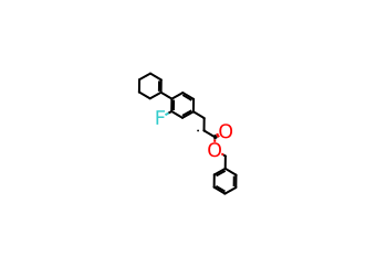 O=C([CH]Cc1ccc(C2=CCCCC2)c(F)c1)OCc1ccccc1